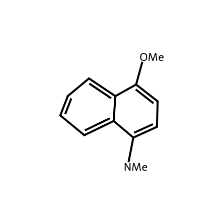 CNc1ccc(OC)c2ccccc12